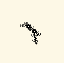 CCOC(=O)CCN1CC(=O)N(C)c2ccc(NC(=O)c3ccc(C(=N)N)cc3)cc2C1=O